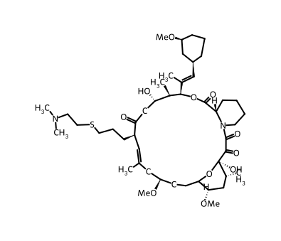 CO[C@@H]1CC[C@H]2O[C@@](O)(C(=O)C(=O)N3CCCC[C@H]3C(=O)O[C@H](/C(C)=C/[C@@H]3CCC[C@H](OC)C3)[C@H](C)[C@@H](O)CC(=O)[C@H](CCCSCCN(C)C)/C=C(\C)C1)[C@H](C)C[C@@H]2OC